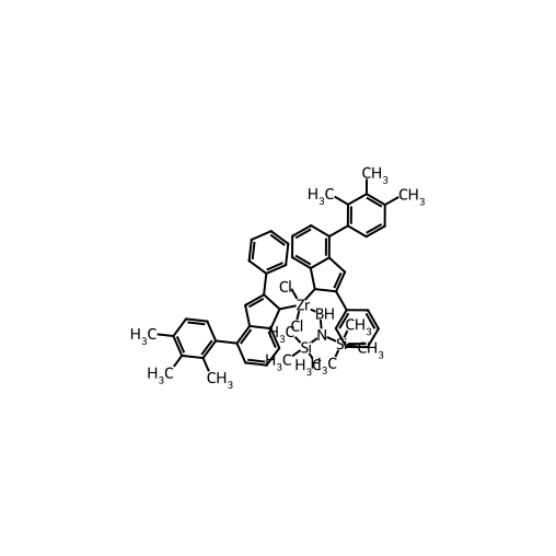 Cc1ccc(-c2cccc3c2C=C(c2ccccc2)[CH]3[Zr]([Cl])([Cl])([BH]N([Si](C)(C)C)[Si](C)(C)C)[CH]2C(c3ccccc3)=Cc3c(-c4ccc(C)c(C)c4C)cccc32)c(C)c1C